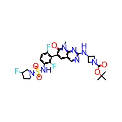 Cn1c(=O)c(-c2c(F)ccc(NS(=O)(=O)N3CC[C@@H](F)C3)c2F)cc2cnc(NC3CN(C(=O)OC(C)(C)C)C3)nc21